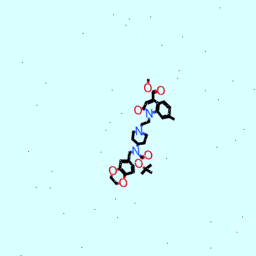 COC(=O)c1cc(=O)n(CCN2CCC(N(Cc3ccc4c(c3)OCCO4)C(=O)OC(C)(C)C)CC2)c2cc(C)ccc12